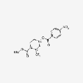 CC(C)(C)OC(=O)N1CC[C@H](OC(=O)c2ccc([N+](=O)[O-])cc2)C[C@H]1C(F)(F)F